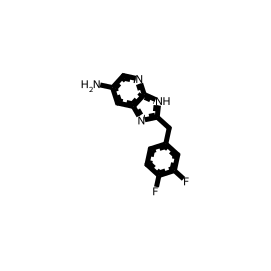 Nc1cnc2[nH]c(Cc3ccc(F)c(F)c3)nc2c1